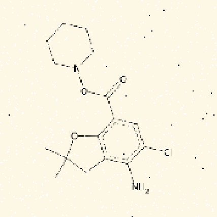 CC1(C)Cc2c(N)c(Cl)cc(C(=O)ON3CCCCC3)c2O1